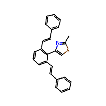 Cc1nc(-c2c(C=Cc3ccccc3)cccc2C=Cc2ccccc2)cs1